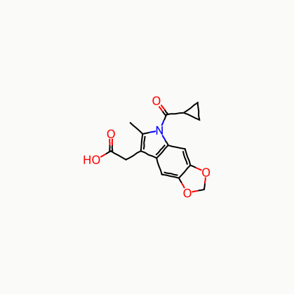 Cc1c(CC(=O)O)c2cc3c(cc2n1C(=O)C1CC1)OCO3